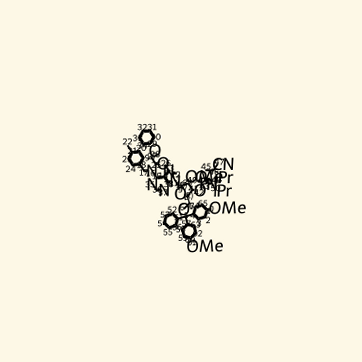 COc1ccc(C(OC[C@H]2O[C@@H](n3cnc4c(N(Cc5ccc(C)cc5)C(=O)COc5ccccc5)ncnc43)C(OC)C2OP(OCCC#N)N(C(C)C)C(C)C)(c2ccccc2)c2ccc(OC)cc2)cc1